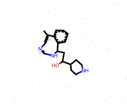 C/C1=C\N=C/NC(CC(O)C2CCNCC2)c2ccccc21